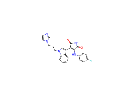 O=C1NC(=O)C(c2cn(CCCn3ccnc3)c3ccccc23)=C1Nc1ccc(F)cc1